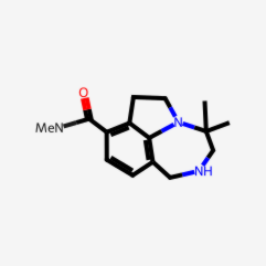 CNC(=O)c1ccc2c3c1CCN3C(C)(C)CNC2